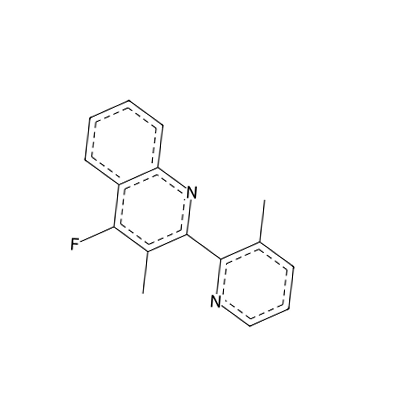 Cc1cccnc1-c1nc2ccccc2c(F)c1C